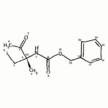 CC(=O)[C@@](C)(CI)NC(=O)OCc1ccccc1